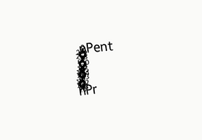 CCCCCC1CCC(C2CCC3(CC2)CC2(CCC(C4CCC(CCC)CC4)CC2)C3)CC1